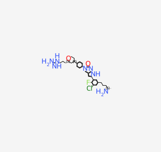 C[C@H](N)CCCc1cc(Cl)c(F)c(-c2cc3cn(-c4ccc([C@@H]5CCO[C@@H](CCCNC(=N)N)C5)cc4)c(=O)nc3[nH]2)c1